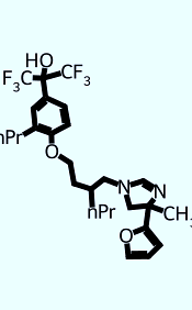 CCCc1cc(C(O)(C(F)(F)F)C(F)(F)F)ccc1OCCC(CCC)CN1C=NC(C)(c2ccco2)C1